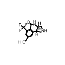 CCc1cc2c(c(C(F)(F)F)c1)C(=O)N[C@@H]1CNC[C@@H]21